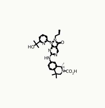 C=CCn1c(=O)c2cnc(Nc3ccc4c(c3)[C@H](C)N(C(=O)O)CC4(C)C)nc2n1-c1cccc(C(C)(C)O)n1